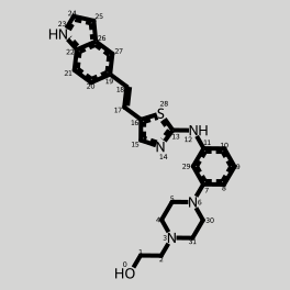 OCCN1CCN(c2cccc(Nc3ncc(C=Cc4ccc5[nH]ccc5c4)s3)c2)CC1